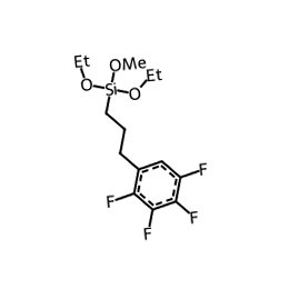 CCO[Si](CCCc1cc(F)c(F)c(F)c1F)(OC)OCC